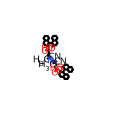 CC(C#N)(CCC(=O)Oc1ccc2ccccc2c1-c1c(O)ccc2ccccc12)N=NC(C)(C#N)CCC(=O)Oc1ccc2ccccc2c1-c1c(O)ccc2ccccc12